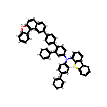 C1=CCC2C(=C1)Sc1c2cccc1N(c1ccc(C2=CCCC=C2)cc1)c1ccc(-c2ccc(-c3ccc4ccc5oc6ccccc6c5c4c3)cc2)c(C2=CCCC=C2)c1